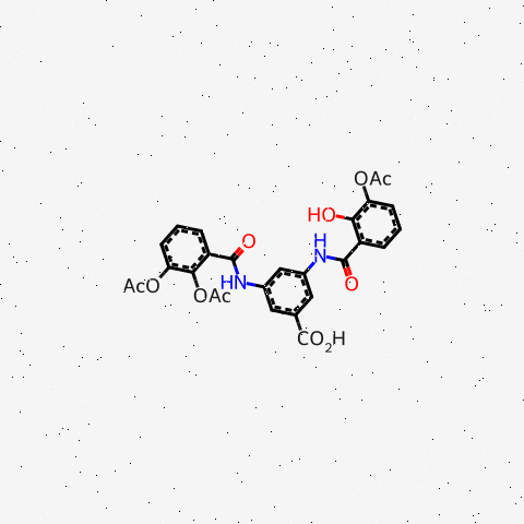 CC(=O)Oc1cccc(C(=O)Nc2cc(NC(=O)c3cccc(OC(C)=O)c3OC(C)=O)cc(C(=O)O)c2)c1O